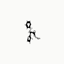 [NH]C(=O)/C(=N\Oc1ccccc1)c1ccco1